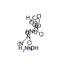 Cc1c(Cl)ccc(S(=O)(=O)N(CCc2ccccc2)CC(=O)NCC(=O)N(CCCCN2CCCC2)Cc2ccc(/C(N)=N\O)cc2)c1Cl